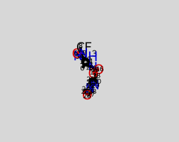 Cc1cc(-c2noc(C(F)(F)F)n2)ccc1CNC(=O)OCc1ccc(N2CCOCC2)nc1